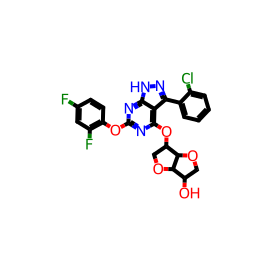 OC1COC2C(Oc3nc(Oc4ccc(F)cc4F)nc4[nH]nc(-c5ccccc5Cl)c34)COC12